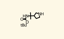 CC(C)(C)OC(=O)NC(C)(C)C1CCNC1